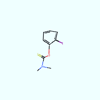 CN(C)C(=S)Oc1ccccc1I